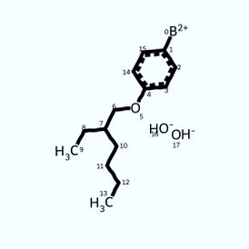 [B+2]c1ccc(OCC(CC)CCCC)cc1.[OH-].[OH-]